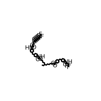 CCC(CCCCCOC(=O)C1CCC(CC2CCC(NC(=O)CC(F)(F)F)CC2)CC1)CCCCOC(=O)NC1CCC(CC2CCC(NC(=O)OCCC(F)(F)C(F)(F)C(F)(F)C(F)(F)C(F)(F)C(F)F)CC2)CC1